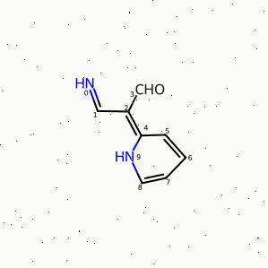 N=C/C(C=O)=C1/C=CC=CN1